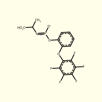 CC(/N=[P+](\[O-])Oc1ccccc1Oc1c(F)c(F)c(F)c(F)c1F)C(=O)O